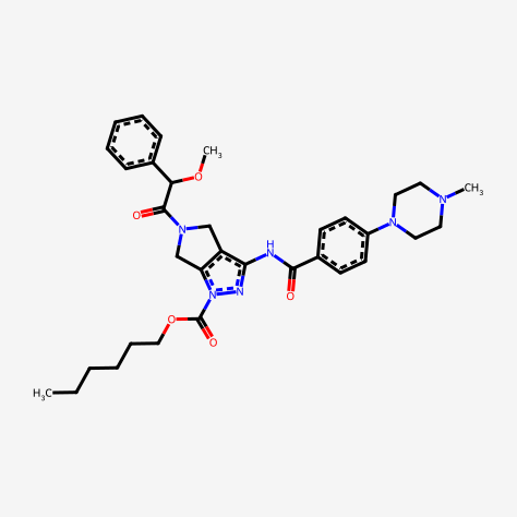 CCCCCCOC(=O)n1nc(NC(=O)c2ccc(N3CCN(C)CC3)cc2)c2c1CN(C(=O)C(OC)c1ccccc1)C2